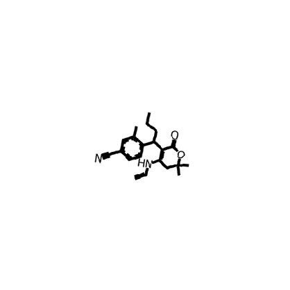 C=CNC1=C(C(CCC)c2ccc(C#N)cc2C)C(=O)OC(C)(C)C1